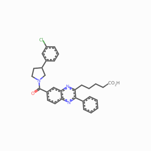 O=C(O)CCCCc1nc2cc(C(=O)N3CCC(c4cccc(Cl)c4)C3)ccc2nc1-c1ccccc1